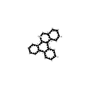 [c]1nc2c3ccccc3c3ccccc3c2c2ccccc12